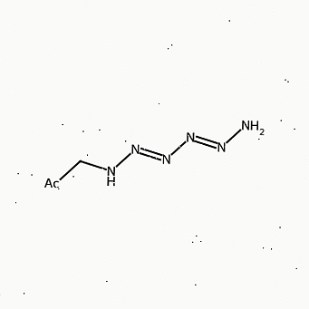 CC(=O)CNN=NN=NN